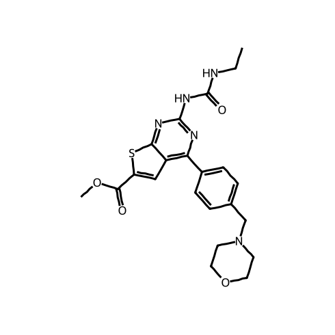 CCNC(=O)Nc1nc(-c2ccc(CN3CCOCC3)cc2)c2cc(C(=O)OC)sc2n1